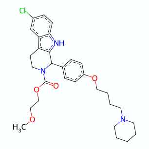 COCCOC(=O)N1CCc2c([nH]c3ccc(Cl)cc23)C1c1ccc(OCCCCN2CCCCC2)cc1